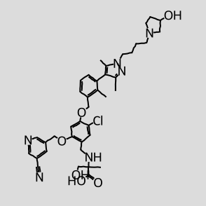 Cc1nn(CCCCN2CCC(O)C2)c(C)c1-c1cccc(COc2cc(OCc3cncc(C#N)c3)c(CNC(C)(CO)C(=O)O)cc2Cl)c1C